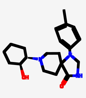 Cc1ccc(N2CNC(=O)C23CCN([C@H]2CCCC[C@@H]2O)CC3)cc1